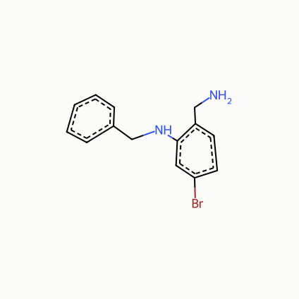 NCc1ccc(Br)cc1NCc1ccccc1